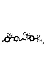 CC(=O)c1ccc2c(c1)oc(=O)n2CCCN1CCC(c2noc3cc(F)ccc23)CC1